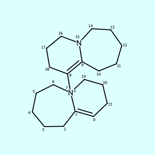 C1=C2CCCCC[N+]2(C2=C3CCCCCN3CCC2)CCC1